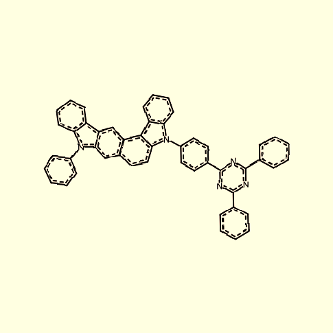 c1ccc(-c2nc(-c3ccccc3)nc(-c3ccc(-n4c5ccccc5c5c6cc7c8ccccc8n(-c8ccccc8)c7cc6ccc54)cc3)n2)cc1